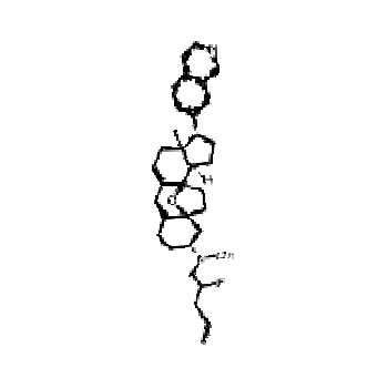 CCC[C@H](F)CN(O)[C@@H]1CCC2=CC3=CC[C@]4(C)[C@@H](c5ccc6ccncc6c5)CC[C@H]4[C@@]34CCC2(C1)O4